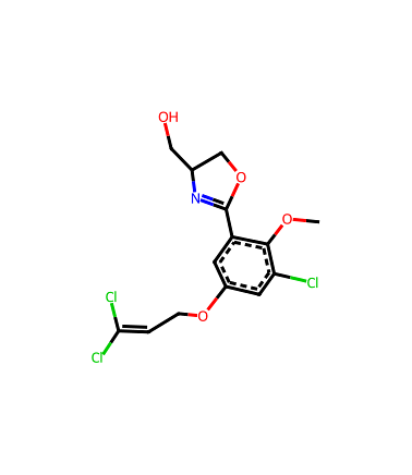 COc1c(Cl)cc(OCC=C(Cl)Cl)cc1C1=NC(CO)CO1